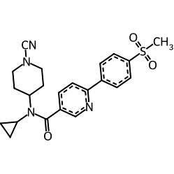 CS(=O)(=O)c1ccc(-c2ccc(C(=O)N(C3CC3)C3CCN(C#N)CC3)cn2)cc1